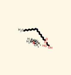 CCCCCCCC/C=C\CCCCCCCC(=O)OCC(O)CO.C[Si](C)(C)O[Si](C)(C)C